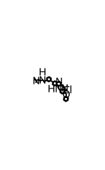 CN(C)CCNCc1cccc(-c2ccc3c(Nc4ccc(Oc5ccccc5)c(Cl)c4)c(C#N)cnc3c2)c1